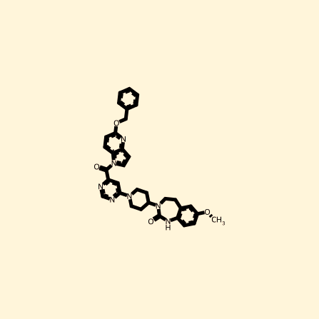 COc1ccc2c(c1)CCN(C1CCN(c3cc(C(=O)n4ccc5nc(OCc6ccccc6)ccc54)ncn3)CC1)C(=O)N2